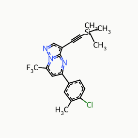 Cc1cc(-c2cc(C(F)(F)F)n3ncc(C#C[Si](C)(C)C)c3n2)ccc1Cl